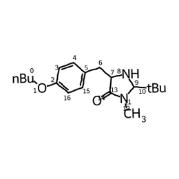 CCCCOc1ccc(CC2NC(C(C)(C)C)N(C)C2=O)cc1